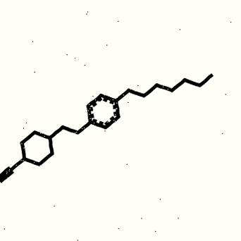 C#CC1CCC(CCc2ccc(CCCCCCC)cc2)CC1